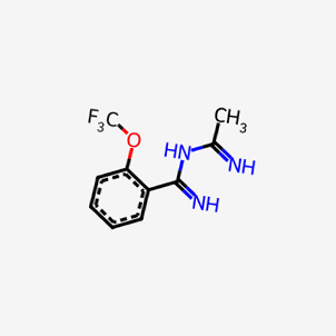 CC(=N)NC(=N)c1ccccc1OC(F)(F)F